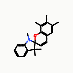 Cc1cc2c(c(C)c1C)OC1(C=C2)N(C)c2ccccc2C1(C)C